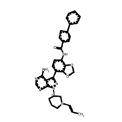 CC=CN1CCC[C@@H](n2nc(-c3ccc(NC(=O)c4ccc(-c5ccccc5)cc4)c4c3OCO4)c3c(N)ncnc32)C1